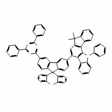 CC1(C)c2ccccc2-c2c1cc(-c1ccc3c(c1)-c1cc(-c4nc(-c5ccccc5)nc(-c5ccccc5)n4)ccc1C31c3ccccc3Oc3ccccc31)c1c3ccccc3n(-c3ccccc3)c21